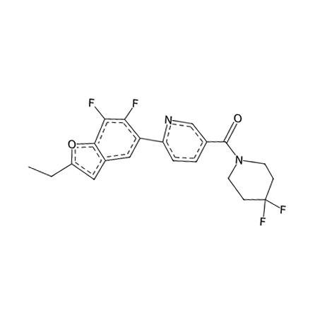 CCc1cc2cc(-c3ccc(C(=O)N4CCC(F)(F)CC4)cn3)c(F)c(F)c2o1